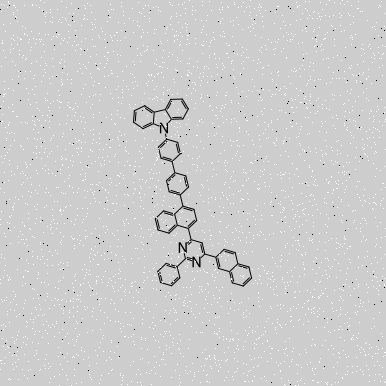 c1ccc(-c2nc(-c3ccc4ccccc4c3)cc(-c3ccc(-c4ccc(-c5ccc(-n6c7ccccc7c7ccccc76)cc5)cc4)c4ccccc34)n2)cc1